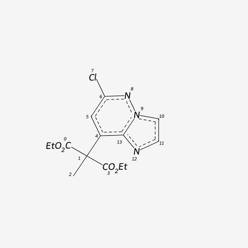 CCOC(=O)C(C)(C(=O)OCC)c1cc(Cl)nn2ccnc12